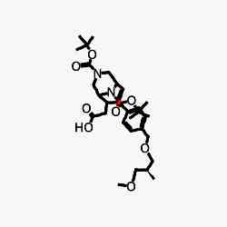 COC[C@H](C)COCc1ccc(C2=CC3CN(C(=O)OC(C)(C)C)CC(C2CC(=O)O)N3C(=O)OC(C)(C)C)cc1